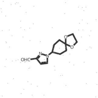 O=Cc1ccn(C2CCC3(CC2)OCCO3)n1